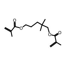 C=C(C)C(=O)OCCCC(C)(C)COC(=O)C(=C)C